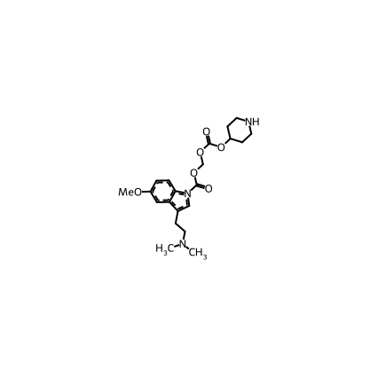 COc1ccc2c(c1)c(CCN(C)C)cn2C(=O)OCOC(=O)OC1CCNCC1